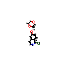 Clc1nccc2cc(OC[C@H]3COCCO3)ccc12